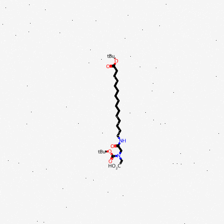 CC(C)(C)OC(=O)CCCCCCCCCCCCCCNC(=O)CN(CC(=O)O)C(=O)OC(C)(C)C